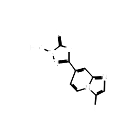 Cn1nc(-c2ccn3c(I)cnc3c2)oc1=O